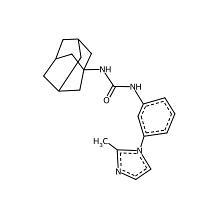 Cc1nccn1-c1cccc(NC(=O)NC23CC4CC(CC(C4)C2)C3)c1